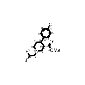 COC(=O)[C@@H]1CN(CC(F)F)CCC1c1ccc(Cl)cc1